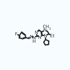 CCC1CN(C)c2cnc(N/N=C/c3ccc(F)cc3)nc2N1C1CCCC1